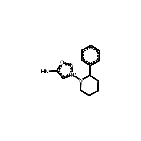 [NH-]c1c[n+](N2CCCCC2c2ccccc2)no1